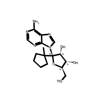 CC1([C@@]2(n3cnc4c(N)ncnc43)O[C@H](CO)[C@@H](O)[C@H]2O)CCCC1